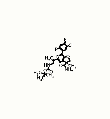 C=C(CNC(=O)OC(C)(C)C)c1cc2c(c(-c3cc(Cl)c(F)cc3F)n1)OC[C@]2(C)C(N)=O